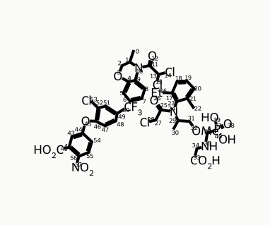 CC1COc2ccccc2N1C(=O)C(Cl)Cl.CCc1cccc(C)c1N(C(=O)CCl)C(C)COC.O=C(O)CNCP(=O)(O)O.O=C(O)c1cc(Oc2ccc(C(F)(F)F)cc2Cl)ccc1[N+](=O)[O-]